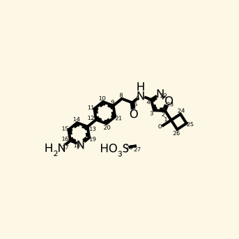 CC1(c2cc(NC(=O)Cc3ccc(-c4ccc(N)nc4)cc3)no2)CCC1.CS(=O)(=O)O